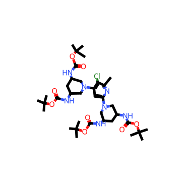 Cc1nc(N2CC(NC(=O)OC(C)(C)C)CC(NC(=O)OC(C)(C)C)C2)cc(N2CC(NC(=O)OC(C)(C)C)CC(NC(=O)OC(C)(C)C)C2)c1Cl